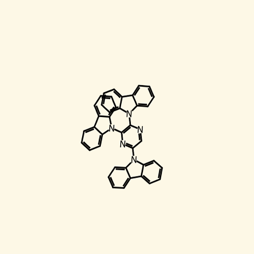 c1ccc2c(c1)c1ccccc1n2-c1cnc(-n2c3ccccc3c3ccccc32)c(-n2c3ccccc3c3ccccc32)n1